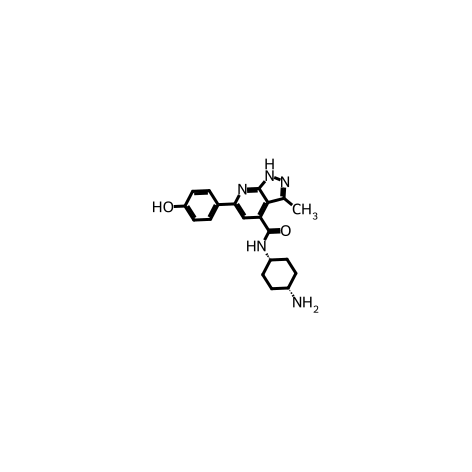 Cc1n[nH]c2nc(-c3ccc(O)cc3)cc(C(=O)N[C@H]3CC[C@@H](N)CC3)c12